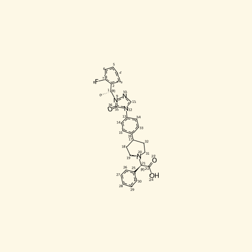 C[C@H](c1ccccc1F)n1ncn(-c2ccc(C3CCN([C@@H](C(=O)O)c4ccccc4)CC3)cc2)c1=O